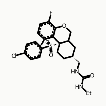 CCNC(=O)NC[C@@H]1CC[C@@]2(S(=O)(=O)c3ccc(Cl)cc3)c3c(F)ccc(F)c3OCC2C1